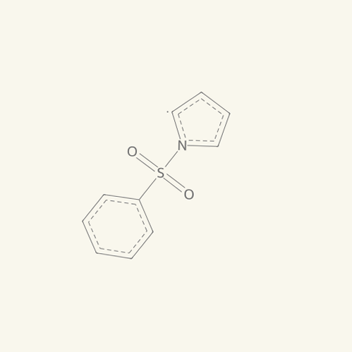 O=S(=O)(c1ccccc1)n1[c]ccc1